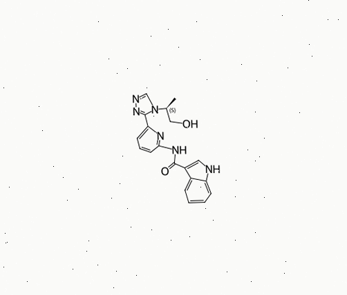 C[C@@H](CO)n1cnnc1-c1cccc(NC(=O)c2c[nH]c3ccccc23)n1